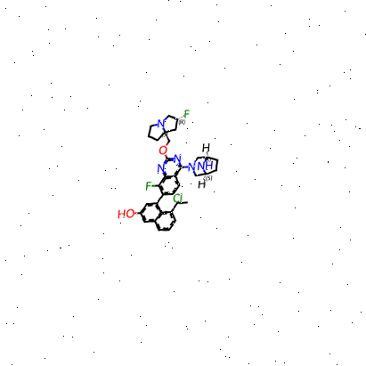 CCc1cccc2cc(O)cc(-c3c(Cl)cc4c(N5C[C@H]6CC[C@@H](C5)N6)nc(OC[C@@]56CCCN5C[C@H](F)C6)nc4c3F)c12